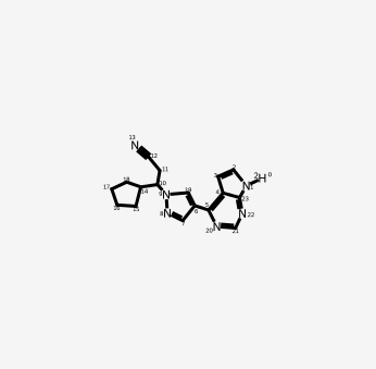 [2H]n1ccc2c(-c3cnn(C(CC#N)C4CCCC4)c3)ncnc21